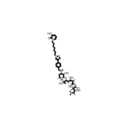 CC[C@@H](OC(=O)[C@H](C)[C@@H](O)[C@H](C)[C@@H](O[C@@H]1O[C@H](C)C[C@H](N(C)Cc2ccc(-c3cn(CCCCCCCn4cccc(O)c4=O)nn3)cc2)[C@@H]1O)[C@](C)(O)CC)[C@@](C)(O)[C@H](O)[C@@H](C)N(C)C